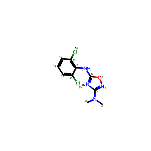 CN(C)c1noc(Nc2c(Cl)cccc2Cl)n1